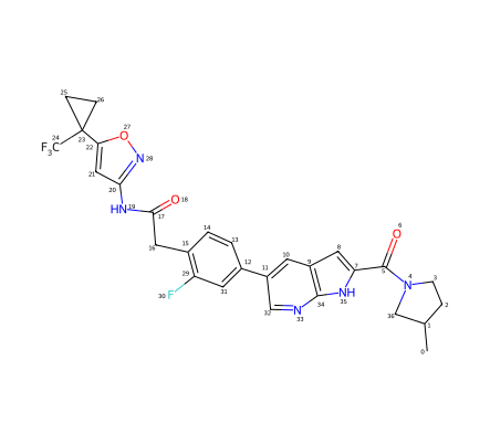 CC1CCN(C(=O)c2cc3cc(-c4ccc(CC(=O)Nc5cc(C6(C(F)(F)F)CC6)on5)c(F)c4)cnc3[nH]2)C1